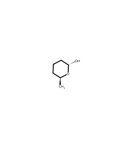 C[C@H]1CCC[C@H](O)O1